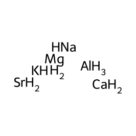 [AlH3].[CaH2].[KH].[MgH2].[NaH].[SrH2]